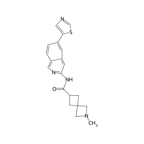 CN1CC2(CC(C(=O)Nc3cc4cc(-c5cncs5)ccc4cn3)C2)C1